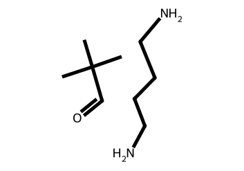 CC(C)(C)C=O.NCCCCN